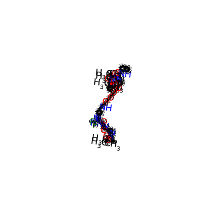 C[C@@H](C(=O)N[C@H](C(=O)N1Cc2cc(OCCOCCOCCOCCNCc3ccc(-n4cc(NC(=O)c5coc(-c6ccnc(N(CC7CC7)C(=O)OC(C)(C)C)c6)n5)c(C(F)F)n4)cc3)ccc2C[C@H]1C(=O)N[C@@H]1CCCc2ccccc21)C(C)(C)C)N(C)C(=O)OCc1ccccc1